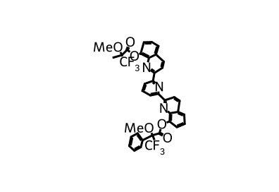 COC(C)(C(=O)Oc1cccc2ccc(-c3cccc(-c4ccc5cccc(OC(=O)C(OC)(c6ccccc6)C(F)(F)F)c5n4)n3)nc12)C(F)(F)F